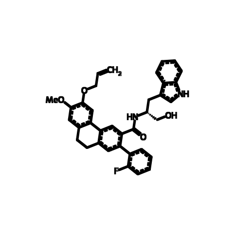 C=CCOc1cc2c(cc1OC)CCc1cc(-c3ccccc3F)c(C(=O)N[C@@H](CO)Cc3c[nH]c4ccccc34)cc1-2